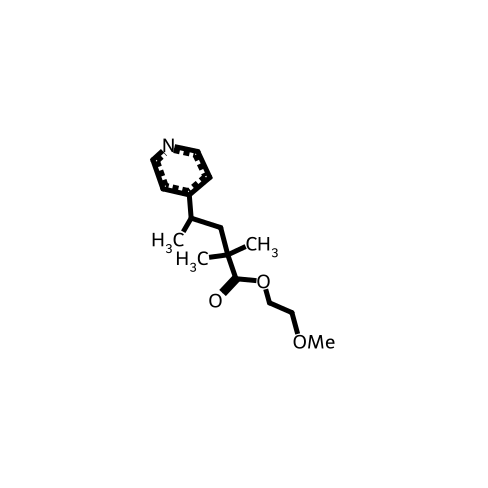 COCCOC(=O)C(C)(C)CC(C)c1ccncc1